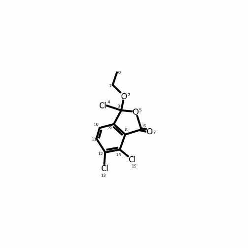 CCOC1(Cl)OC(=O)c2c1ccc(Cl)c2Cl